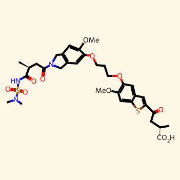 COc1cc2c(cc1OCCCOc1cc3cc(C(=O)C[C@H](C)C(=O)O)sc3cc1OC)CN(C(=O)C[C@H](C)C(=O)NS(=O)(=O)N(C)C)C2